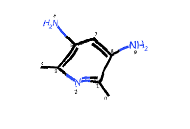 Cc1nc(C)c(N)cc1N